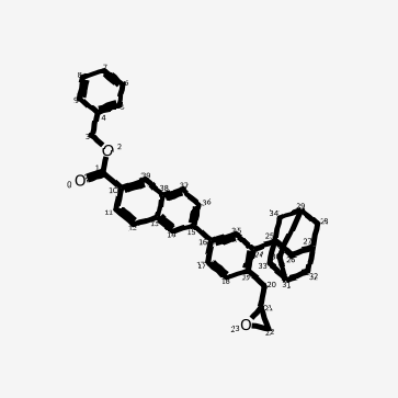 O=C(OCc1ccccc1)c1ccc2cc(-c3ccc(CC4CO4)c(C45CC6CC(CC(C6)C4)C5)c3)ccc2c1